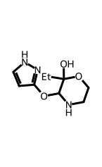 CCC1(O)OCCNC1Oc1cc[nH]n1